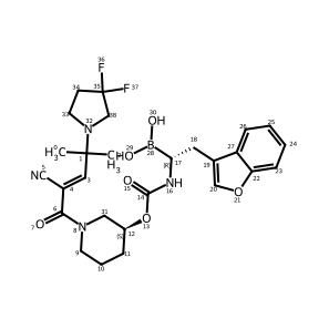 CC(C)(C=C(C#N)C(=O)N1CCC[C@H](OC(=O)N[C@@H](Cc2coc3ccccc23)B(O)O)C1)N1CCC(F)(F)C1